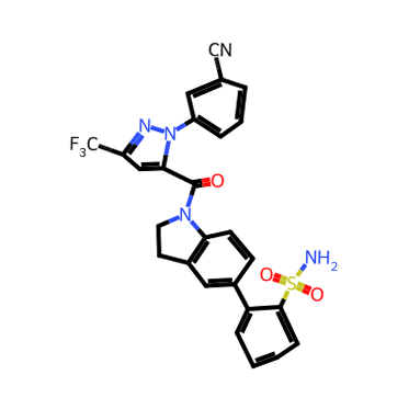 N#Cc1cccc(-n2nc(C(F)(F)F)cc2C(=O)N2CCc3cc(-c4ccccc4S(N)(=O)=O)ccc32)c1